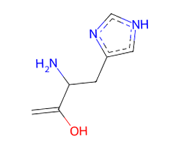 C=C(O)C(N)Cc1c[nH]cn1